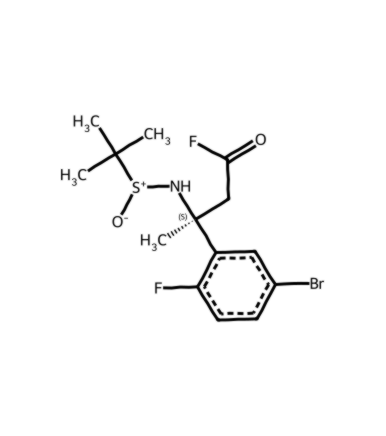 CC(C)(C)[S+]([O-])N[C@@](C)(CC(=O)F)c1cc(Br)ccc1F